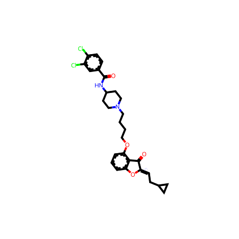 O=C(NC1CCN(CCCCOc2cccc3c2C(=O)/C(=C/CC2CC2)O3)CC1)c1ccc(Cl)c(Cl)c1